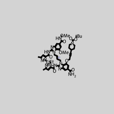 CCn1nc(C)cc1C(=O)Nc1nc2cc(C(=O)NOC)cc(OC)c2n1C/C=C/Cn1c(NC(=O)c2cc(C)nn2CC)nc2cc(C(N)=O)cc(OCC#CC3CCN(C(=O)OC(C)(C)C)CC3)c21